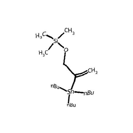 C=[C](CO[Si](C)(C)C)[Sn]([CH2]CCC)([CH2]CCC)[CH2]CCC